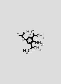 C=C(C)c1cc(OC(F)F)cc(C(=C)C)c1N